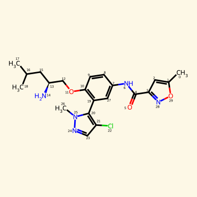 Cc1cc(C(=O)Nc2ccc(OC[C@@H](N)CC(C)C)c(-c3c(Cl)cnn3C)c2)no1